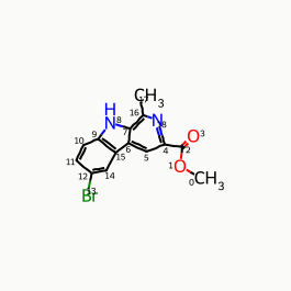 COC(=O)c1cc2c([nH]c3ccc(Br)cc32)c(C)n1